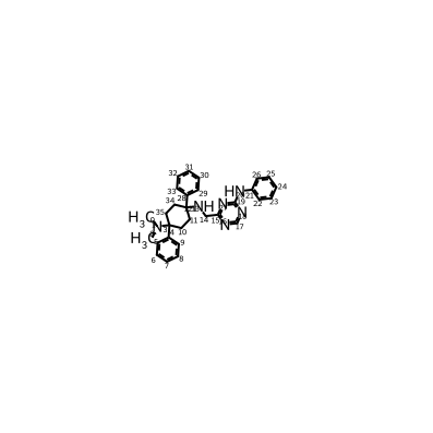 CN(C)C1(c2ccccc2)CCC(NCc2ncnc(Nc3ccccc3)n2)(c2ccccc2)CC1